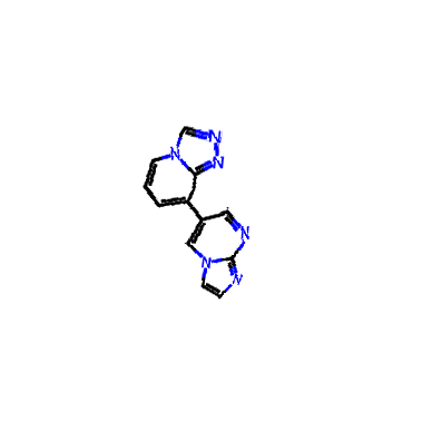 [c]1nc2nccn2cc1-c1cccn2cnnc12